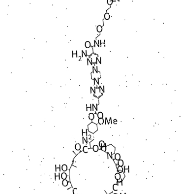 CCOCCOCCOCCNC(=O)c1cnc(N2CCN(c3ncc(CNC(=O)O[C@@H]4CC[C@@H](C[C@@H](N)[C@@H]5CC(=O)[C@H](C)/C=C(\C)[C@@H](O)[C@@H](O)C(=O)[C@H](C)C[C@H](C)/C=C/C=C/C=C(\C)[C@@H](OC)C[C@@H]6CC[C@@H](C)[C@@](O)(O6)C(=O)C(=O)N6CCCC[C@H]6C(=O)O5)C[C@H]4OC)cn3)CC2)nc1N